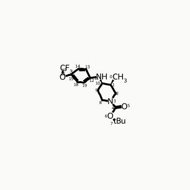 C[C@H]1CN(C(=O)OC(C)(C)C)CC[C@H]1Nc1ccc(OC(F)(F)F)cc1